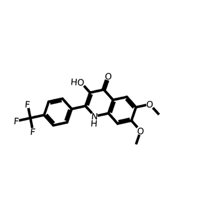 COc1cc2[nH]c(-c3ccc(C(F)(F)F)cc3)c(O)c(=O)c2cc1OC